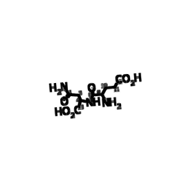 NC(=O)CC(NC(=O)C(N)CCC(=O)O)C(=O)O